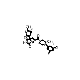 Cc1ccc(C2(CCC(=O)N3CCN(c4cc(F)cc(Cl)c4)[C@@H](C)C3)NC(=O)NC2=O)cn1